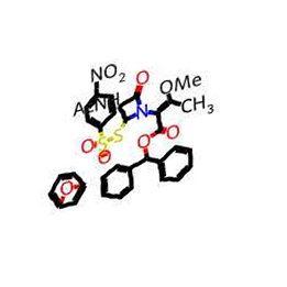 COC(C)=C(C(=O)OC(c1ccccc1)c1ccccc1)N1C(=O)C(NC(C)=O)C1SS(=O)(=O)c1ccc([N+](=O)[O-])cc1.c1cc2cc(c1)O2